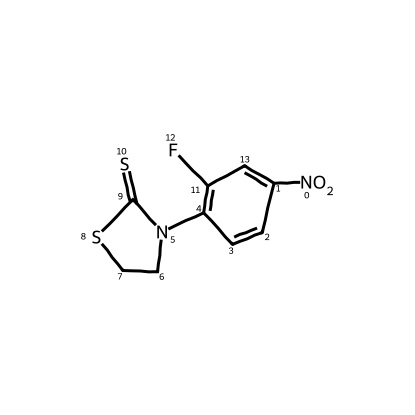 O=[N+]([O-])c1ccc(N2CCSC2=S)c(F)c1